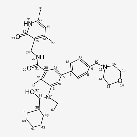 CCN(c1cc(-c2ccc(CN3CCOCC3)cc2)cc(C(=O)NCc2c(C)cc(C)[nH]c2=O)c1C)C(O)C1CCCCC1